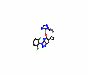 Cn1ncnc1COc1nc2c(cc1C1CCC1)nnn2-c1c(F)cccc1F